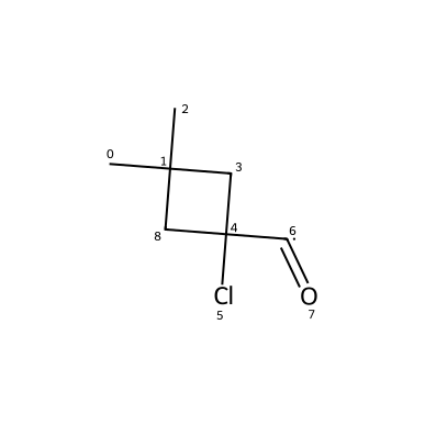 CC1(C)CC(Cl)([C]=O)C1